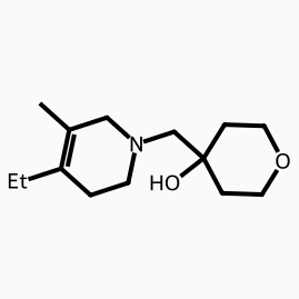 CCC1=C(C)CN(CC2(O)CCOCC2)CC1